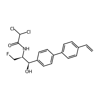 C=Cc1ccc(-c2ccc([C@@H](O)[C@@H](CF)NC(=O)C(Cl)Cl)cc2)cc1